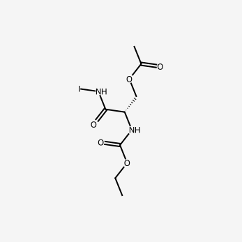 CCOC(=O)N[C@@H](COC(C)=O)C(=O)NI